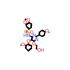 COc1ccc(-c2nc(NS(=O)(=O)c3ccc4c(c3)OCO4)c(Oc3ccccc3OC)c(OCCO)n2)cc1